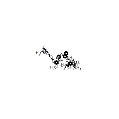 CNO/C(=C\C=O)COCCOCCOc1cc(Nc2cc(Oc3ccc(NC(=O)Nc4cc(C(C)(C)C)cc(NSC)c4OC)c4ccccc34)ccn2)cc(OC)c1